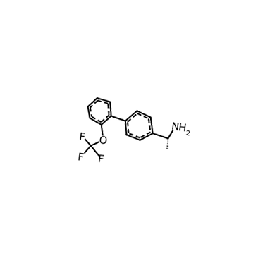 C[C@@H](N)c1ccc(-c2ccccc2OC(F)(F)F)cc1